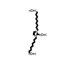 CCCCCCCCCCCCCCCCCCCN1C=CN(CCCCCCCCCCCCCCCCCC)C1CCCCCCCCCC